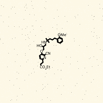 CCOC(=O)CCc1ccc(OCC(O)CNC(C)(C)CCCc2ccccc2OC)c(C#N)n1